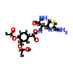 CC(=O)Oc1ccc(C(=O)ON=C(C(N)=O)c2csc(N)n2)cc1OC(C)=O